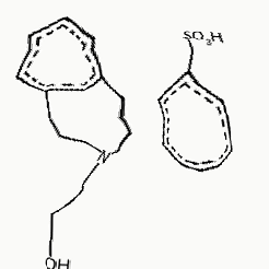 O=S(=O)(O)c1ccccc1.OCCN1CCc2ccccc2C1